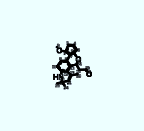 COc1cccc2c1-c1ccc3c(c1C(CC=O)O2)C(C)=CC(C)(C)N3